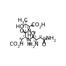 C[C@@H](O)[C@H](NC(=O)[C@H](CC(=O)O)NC(=O)[C@@H](N)CC(N)=O)C(=O)O